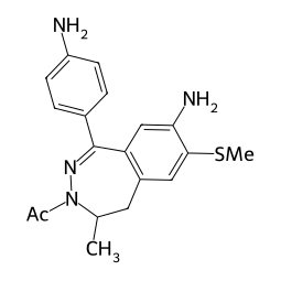 CSc1cc2c(cc1N)C(c1ccc(N)cc1)=NN(C(C)=O)C(C)C2